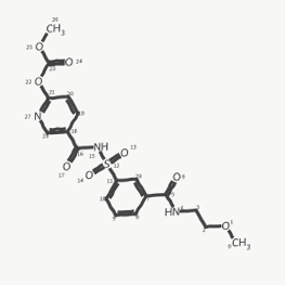 COCCNC(=O)c1cccc(S(=O)(=O)NC(=O)c2ccc(OC(=O)OC)nc2)c1